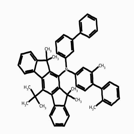 Cc1ccccc1-c1ccc(N(c2cccc(-c3ccccc3)c2)c2c3c(c(C(C)(C)C)c4c2C(C)(C)c2ccccc2-4)-c2ccccc2C3(C)C)cc1C